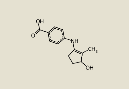 CC1=C(Nc2ccc(C(=O)O)cc2)CCC1O